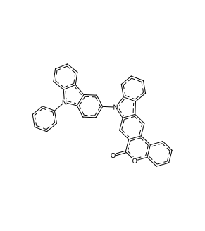 O=c1oc2ccccc2c2cc3c4ccccc4n(-c4ccc5c(c4)c4ccccc4n5-c4ccccc4)c3cc12